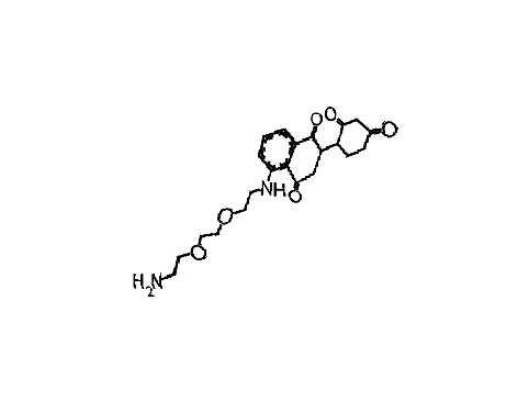 NCCOCCOCCNc1cccc2c1C(=O)CC(C1CCC(=O)CC1=O)C2=O